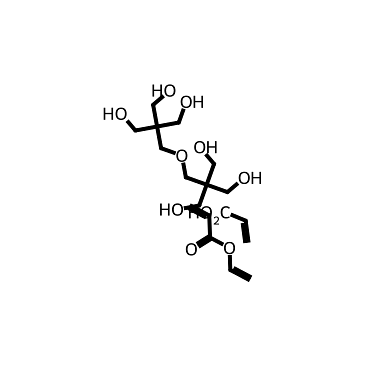 C=CC(=O)O.C=COC(=O)C=C.OCC(CO)(CO)COCC(CO)(CO)CO